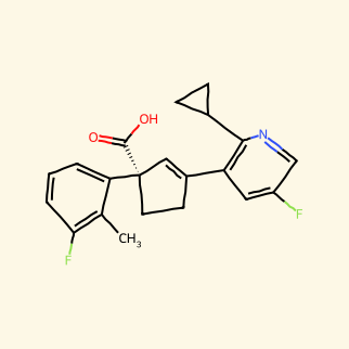 Cc1c(F)cccc1[C@@]1(C(=O)O)C=C(c2cc(F)cnc2C2CC2)CC1